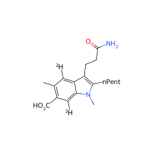 [2H]c1c(C)c(C(=O)O)c([2H])c2c1c(CCC(N)=O)c(CCCCC)n2C